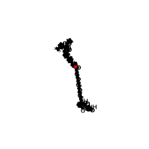 C=C(C)c1ccc(O)c(C(C(=O)Nc2nccs2)N2Cc3ccc(N4CCC(N5CCN(C(=O)CCOCCOCCOCCOCCOCCNc6cccc7c6C(=O)N(C6CCC(=O)NC6=O)C7=O)CC5)CC4)cc3C2=O)c1